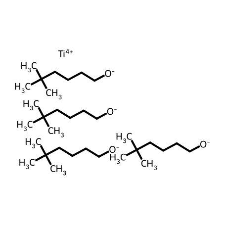 CC(C)(C)CCCC[O-].CC(C)(C)CCCC[O-].CC(C)(C)CCCC[O-].CC(C)(C)CCCC[O-].[Ti+4]